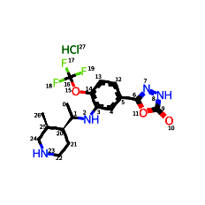 CC(Nc1cc(-c2n[nH]c(=O)o2)ccc1OC(F)(F)F)[C@H]1CCNC[C@H]1C.Cl